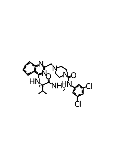 CC(C)[C@H](Nc1nc(CN2CCN(C(=O)Nc3cc(Cl)cc(Cl)c3)CC2)nc2ccccc12)C(N)=O